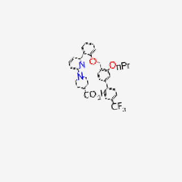 CCCOc1cc(-c2ccc(C(F)(F)F)cc2)ccc1COc1ccccc1-c1cccc(N2CCC(C(=O)O)CC2)n1